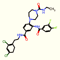 CCNC(=O)N1CCCN(c2ccc(C(=O)NCCC3=C(Cl)C=C(Cl)CC3)cc2NC(=O)c2ccc(F)c(F)c2)CC1